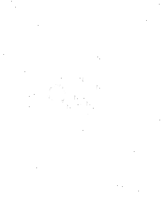 C1=CCCC(N2c3nccnc3N(c3ccccc3)C23Sc2ccccc2N3c2ccccc2)=C1